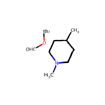 CC(C)(C)OC=O.CC1CCN(C)CC1